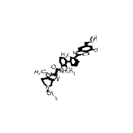 Cc1c(NC(=O)c2nc3c(n2C)CCN(C)C3)cccc1-c1cccc(-c2nc3cc(CO)cc(Cl)c3o2)c1C